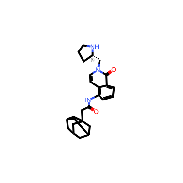 O=C(CC12CC3CC(CC(C3)C1)C2)Nc1cccc2c(=O)n(C[C@@H]3CCCN3)ccc12